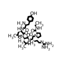 CCNC(=O)[C@@H]1CCCN1C(=O)[C@H](CCCN=C(N)N)NC(=O)[C@H](CC(C)C)NC(=O)[C@@H](CC(C)C)NC(=O)[C@@H](N)Cc1ccc(O)cc1